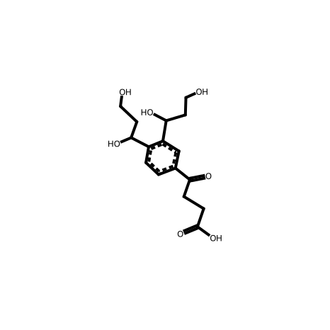 O=C(O)CCC(=O)c1ccc(C(O)CCO)c(C(O)CCO)c1